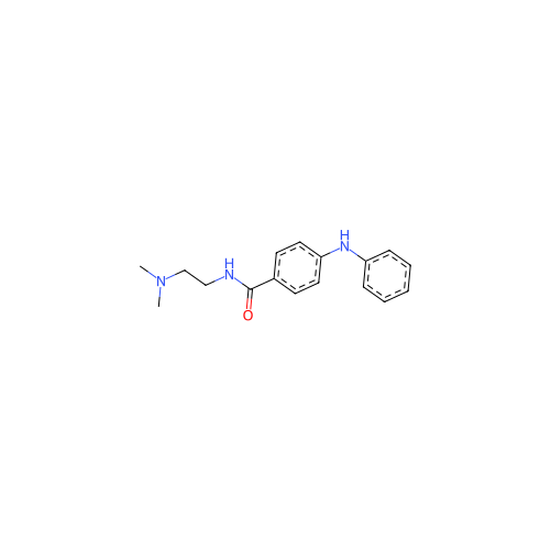 CN(C)CCNC(=O)c1ccc(Nc2ccccc2)cc1